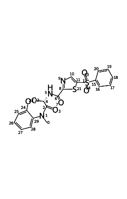 CN1C(=O)[C@@H](NC(=O)c2ncc(S(=O)(=O)c3ccccc3)s2)COc2ccccc21